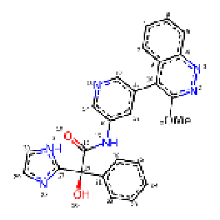 COc1nnc2ccccc2c1-c1cncc(NC(=O)[C@](O)(c2ccccc2)c2ncc[nH]2)c1